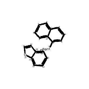 CCCCCc1cccc2ccccc12.c1ccc2occc2c1